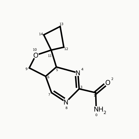 NC(=O)C1=NC2C(C=N1)COC21CCC1